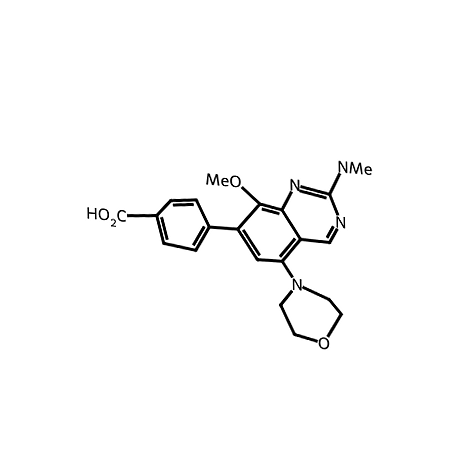 CNc1ncc2c(N3CCOCC3)cc(-c3ccc(C(=O)O)cc3)c(OC)c2n1